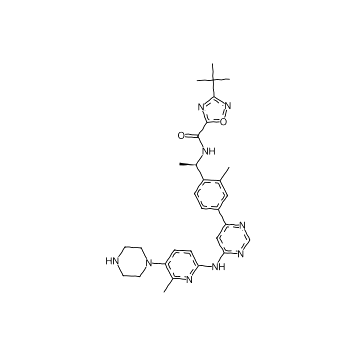 Cc1cc(-c2cc(Nc3ccc(N4CCNCC4)c(C)n3)ncn2)ccc1[C@@H](C)NC(=O)c1nc(C(C)(C)C)no1